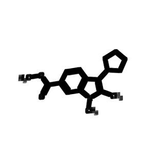 COC(=O)c1ccc2c(C3CCCC3)c(C)n(C)c2c1